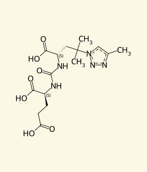 Cc1cn(C(C)(C)C[C@H](NC(=O)N[C@@H](CCC(=O)O)C(=O)O)C(=O)O)nn1